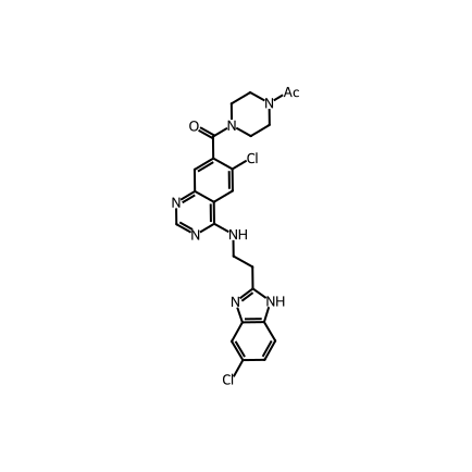 CC(=O)N1CCN(C(=O)c2cc3ncnc(NCCc4nc5cc(Cl)ccc5[nH]4)c3cc2Cl)CC1